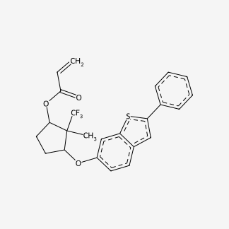 C=CC(=O)OC1CCC(Oc2ccc3cc(-c4ccccc4)sc3c2)C1(C)C(F)(F)F